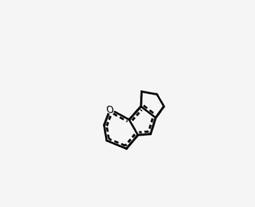 c1coc2c3c(cc-2c1)CCC3